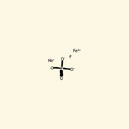 O=P([O-])([O-])[O-].[F].[Fe+2].[Na+]